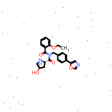 CCOc1ccccc1C(=O)N(Cc1ccc(-c2cnco2)cc1)C(=O)[C@@H]1C[C@@H](O)CN1